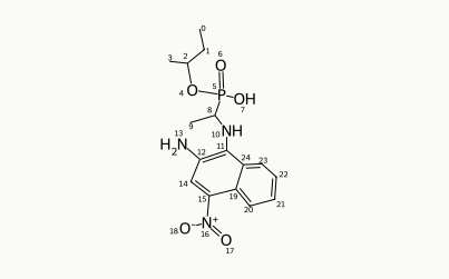 CCC(C)OP(=O)(O)C(C)Nc1c(N)cc([N+](=O)[O-])c2ccccc12